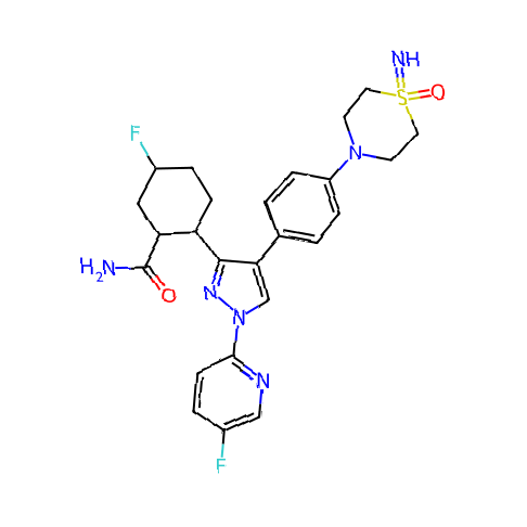 N=S1(=O)CCN(c2ccc(-c3cn(-c4ccc(F)cn4)nc3C3CCC(F)CC3C(N)=O)cc2)CC1